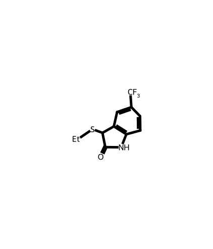 CCSC1C(=O)Nc2ccc(C(F)(F)F)cc21